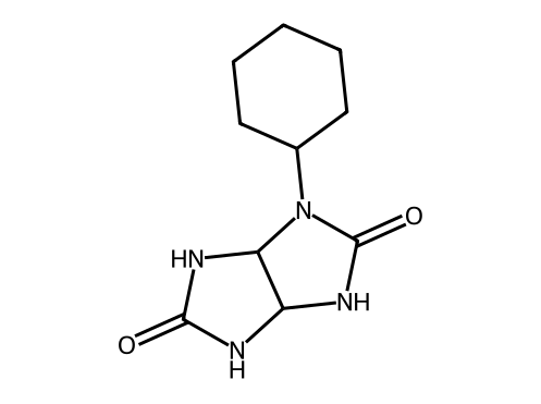 O=C1NC2NC(=O)N(C3CCCCC3)C2N1